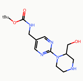 CC(C)(C)OC(=O)NCc1cnc(N2CCNCC2CO)nc1